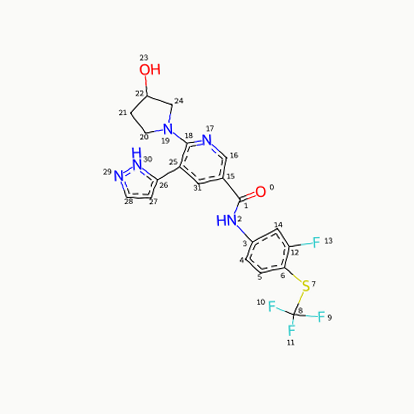 O=C(Nc1ccc(SC(F)(F)F)c(F)c1)c1cnc(N2CCC(O)C2)c(-c2ccn[nH]2)c1